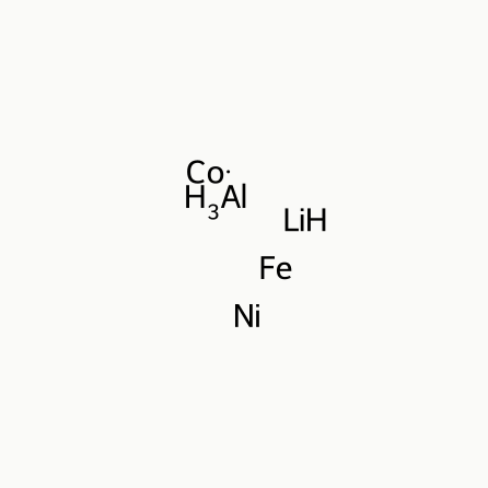 [AlH3].[Co].[Fe].[LiH].[Ni]